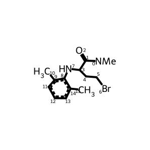 CNC(=O)C(CCBr)Nc1c(C)cccc1C